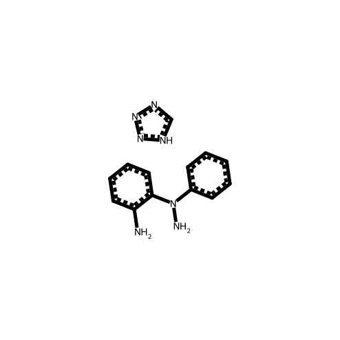 Nc1ccccc1N(N)c1ccccc1.c1nnn[nH]1